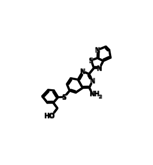 Nc1nc(-c2nc3cccnc3s2)nc2ccc(Sc3ccccc3CO)cc12